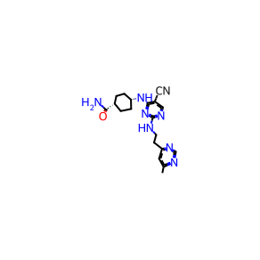 Cc1cc(CCNc2ncc(C#N)c(N[C@H]3CC[C@@H](C(N)=O)CC3)n2)ncn1